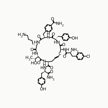 C[C@@H](O)[C@@H]1NC(=O)[C@H](CCCCN)NC(=O)[C@@H](Cc2ccc(C(N)=O)cc2)NC(=O)[C@H](Cc2ccc(O)cc2)NC(=O)[C@@H](NC(=O)[C@@H](N)Cc2ccc(Cl)cc2)C/C=C/C[C@@H](C(=O)N[C@H](Cc2ccc(O)cc2)C(N)=O)NC1=O